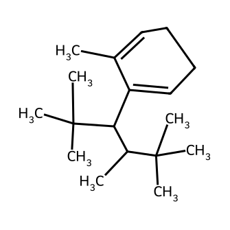 CC1=CCCC=C1C(C(C)C(C)(C)C)C(C)(C)C